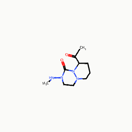 CNN1CCN2CCCC(C(C)=O)N2C1=O